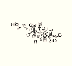 C[C@]12CCC3=C(COC3=O)[C@@H]1C[C@@H]1O[C@@]13C(=O)[C@@]1(CCCO)O[C@H]1[C@@H]1O[C@]123